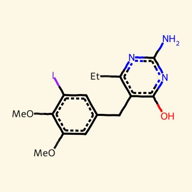 CCc1nc(N)nc(O)c1Cc1cc(I)c(OC)c(OC)c1